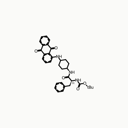 CC(C)(C)OC(=O)N[C@@H](Cc1ccccc1)C(=O)NC1CCC(Nc2cccc3c2C(=O)c2ccccc2C3=O)CC1